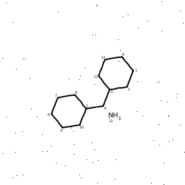 C1CCC(CC2CCCCC2)CC1.N